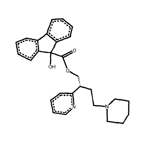 O=C(OC[C@H](CCN1CCCCC1)c1ccccn1)C1(O)c2ccccc2-c2ccccc21